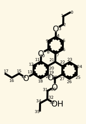 CCCOc1ccc2c(c1)Oc1cc(OCCC)ccc1C2c1ccccc1C(=O)OCC(O)CC